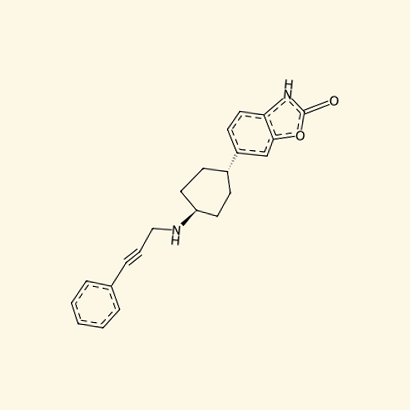 O=c1[nH]c2ccc([C@H]3CC[C@H](NCC#Cc4ccccc4)CC3)cc2o1